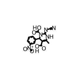 CC1=C(C(=O)O)C(c2cccc([N+](=O)[O-])c2)N(C(=O)O)C(=NC#N)N1